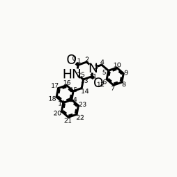 O=C1CN(Cc2ccccc2)C(=O)C(Cc2cccc3ccccc23)N1